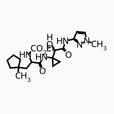 CCOC(=O)NC(CC1(C)CCCC1)C(=O)NC1(C(O)C(=O)Nc2ccn(C)n2)CC1